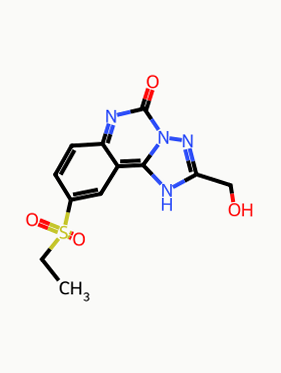 CCS(=O)(=O)c1ccc2nc(=O)n3nc(CO)[nH]c3c2c1